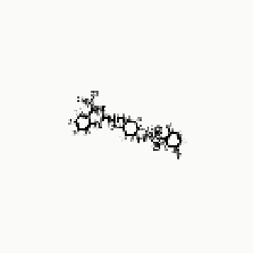 Cc1ccc(F)cc1S(=O)(=O)NC[C@H]1CC[C@H](CNc2nc(N(C)C)c3ccccc3n2)CC1